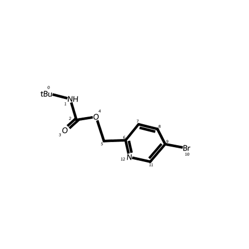 CC(C)(C)NC(=O)OCc1ccc(Br)cn1